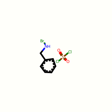 BrNCc1ccccc1.O=S(=O)(Cl)Cl